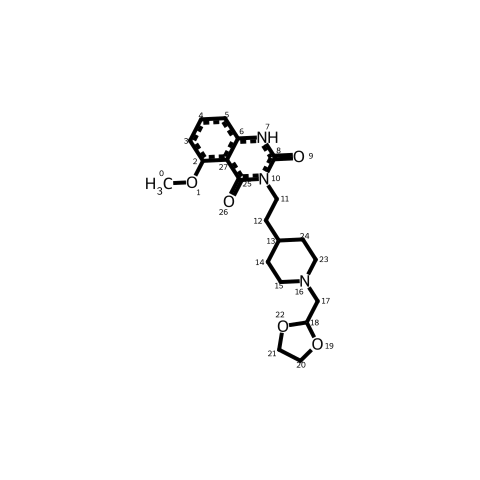 COc1cccc2[nH]c(=O)n(CCC3CCN(CC4OCCO4)CC3)c(=O)c12